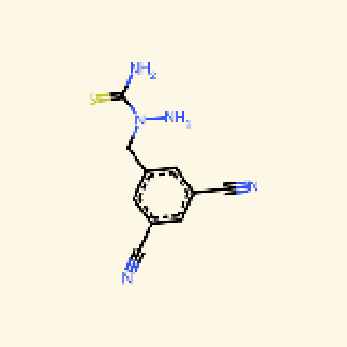 N#Cc1cc(C#N)cc(CN(N)C(N)=S)c1